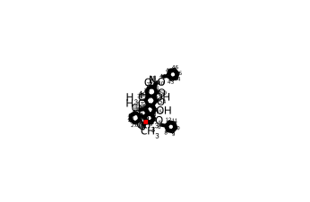 COc1cc(OCc2ccccc2)c2c(O)c3c(c4c2c1[C@@]1(C4)C(C)=CCCC1(C)C)C(C)(C)[C@H]1Cc2onc(OCc4ccccc4)c2C(=O)[C@@]1(O)C3=O